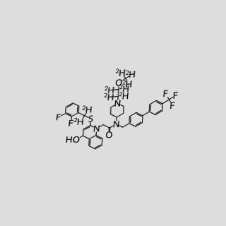 [2H]C([2H])([2H])OC([2H])([2H])C([2H])([2H])N1CCC(N(Cc2ccc(-c3ccc(C(F)(F)F)cc3)cc2)C(=O)CN2C(SC([2H])([2H])c3cccc(F)c3F)=CC(O)c3ccccc32)CC1